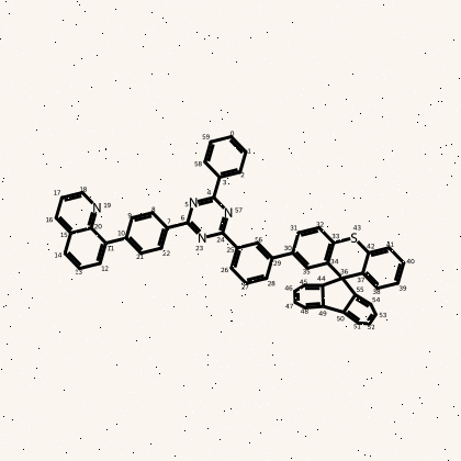 c1ccc(-c2nc(-c3ccc(-c4cccc5cccnc45)cc3)nc(-c3cccc(-c4ccc5c(c4)C4(c6ccccc6S5)c5ccccc5-c5ccccc54)c3)n2)cc1